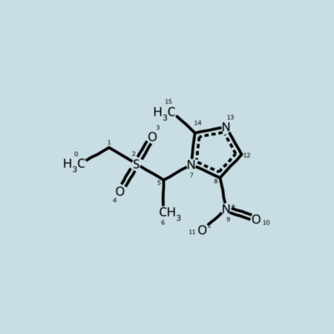 CCS(=O)(=O)C(C)n1c([N+](=O)[O-])cnc1C